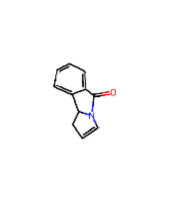 O=C1c2ccccc2C2CC=CN12